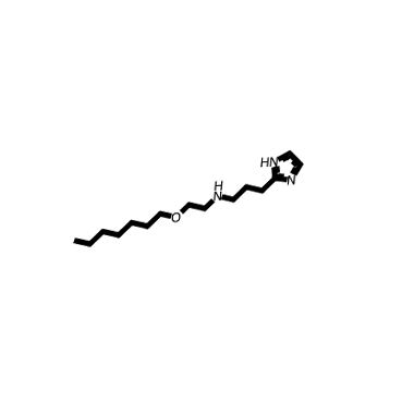 CCCCCCCOCCNCCCc1ncc[nH]1